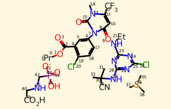 CC(C)OC(=O)c1cc(-n2c(=O)cc(C(F)(F)F)n(C)c2=O)ccc1Cl.CCNc1nc(Cl)nc(NC(C)(C)C#N)n1.C[S+](C)C.O=C(O)CNCP(=O)([O-])O